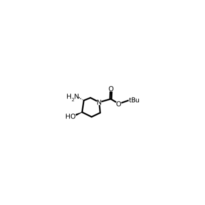 CC(C)(C)OC(=O)N1CC[C@@H](O)[C@H](N)C1